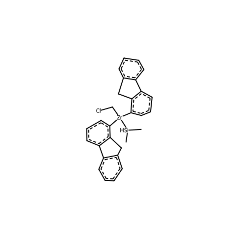 C[SiH](C)[Zr]([CH2]Cl)([c]1cccc2c1Cc1ccccc1-2)[c]1cccc2c1Cc1ccccc1-2